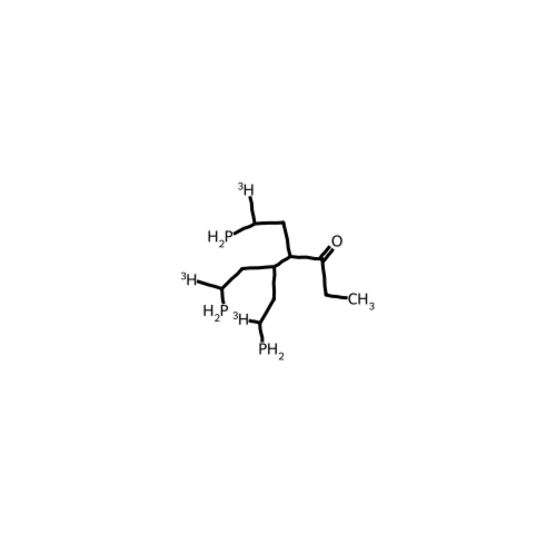 [3H]C(P)CC(CC([3H])P)C(CC([3H])P)C(=O)CC